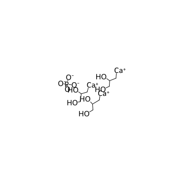 O=P([O-])([O-])[O-].OCC(O)[CH2][Ca+].OCC(O)[CH2][Ca+].OCC(O)[CH2][Ca+]